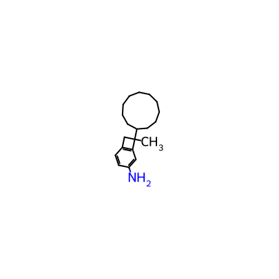 CC1(C2CCCCCCCCCC2)Cc2ccc(N)cc21